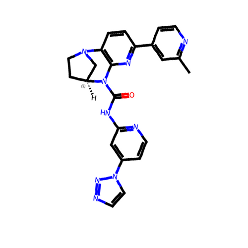 Cc1cc(-c2ccc3c(n2)N(C(=O)Nc2cc(-n4ccnn4)ccn2)[C@H]2CCN3C2)ccn1